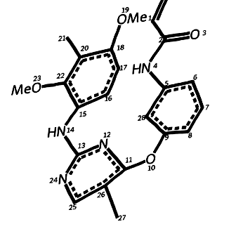 C=CC(=O)Nc1cccc(Oc2nc(Nc3ccc(OC)c(C)c3OC)ncc2C)c1